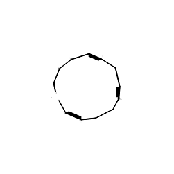 [C]1=CCC=CCCCCC=CCC1